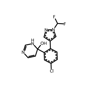 OC1(c2cc(Cl)ccc2-c2cnn(C(F)F)c2)C=CN=CN1